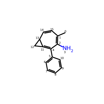 CC1=C(N)C(c2ccccc2)=C2CC2C=C1